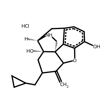 C=C1C(CC2CC2)C[C@@]2(O)[C@H]3Cc4ccc(O)c5c4[C@@]2(CCN3)C1O5.Cl